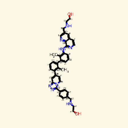 Cc1c(Nc2nccc3cc(CNCCO)cnc23)cccc1-c1cccc(-c2ccn3c(-c4ccc(CNCCO)cc4)nnc3c2)c1C